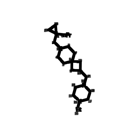 CCCC1(CN2CCC3(CC2)CC(CN2CCN(CC)CC2)C3)CC1